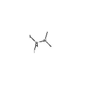 CN(C)[SiH](I)I